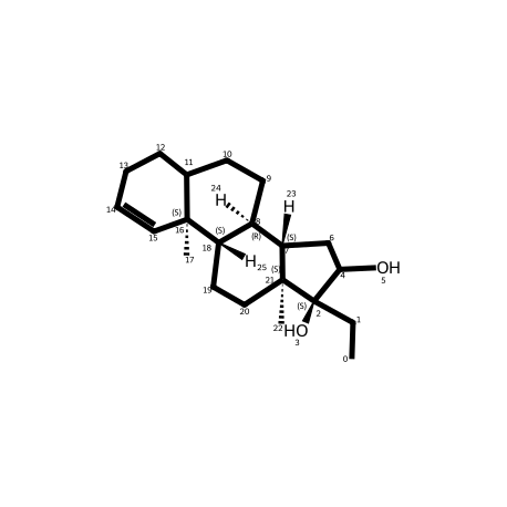 CC[C@@]1(O)C(O)C[C@H]2[C@@H]3CCC4CCC=C[C@]4(C)[C@H]3CC[C@@]21C